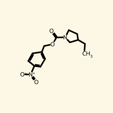 CCC1CCN(C(=O)OCc2ccc([N+](=O)[O-])cc2)C1